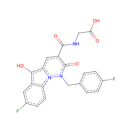 O=C(O)CNC(=O)c1cc2c(O)c3cc(F)ccc3n2n(Cc2ccc(F)cc2)c1=O